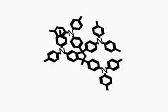 Cc1ccc(N(c2ccc(C)cc2)c2ccc(C3(C)CC(c4ccc(N(c5ccc(C)cc5)c5ccc(C)cc5)cc4)(c4ccc(N(c5ccc(C)cc5)c5ccc(C)cc5)cc4)c4cc(N(c5ccc(C)cc5)c5ccc(C)cc5)ccc43)cc2)cc1